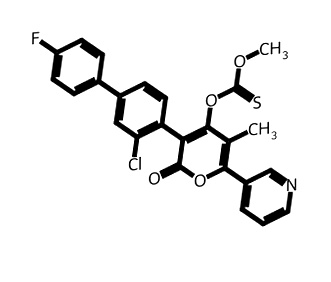 COC(=S)Oc1c(C)c(-c2cccnc2)oc(=O)c1-c1ccc(-c2ccc(F)cc2)cc1Cl